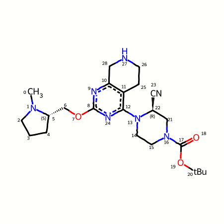 CN1CCC[C@H]1COc1nc2c(c(N3CCN(C(=O)OC(C)(C)C)C[C@@H]3C#N)n1)CCNC2